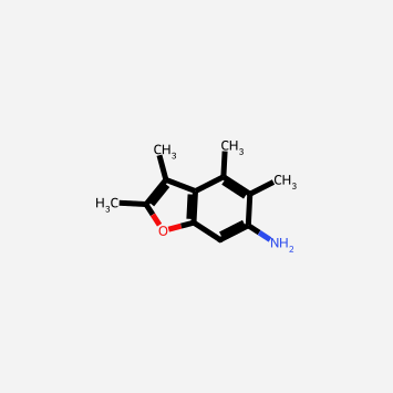 Cc1oc2cc(N)c(C)c(C)c2c1C